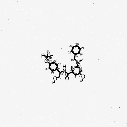 COCC(NC(=O)c1cc(OC)nc(N(C)Cc2ccccc2)n1)c1ccc(OC(F)(F)F)cc1